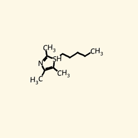 CCCCC[SH]1C(C)=NC(C)=C1C